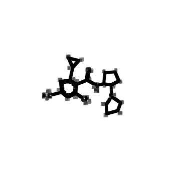 O=C(NC1CCCC1N1CCCC1)c1c(C2CC2)cc(C(F)(F)F)cc1C(F)(F)F